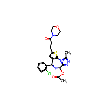 CC(=O)OC1N=C(c2ccccc2Cl)c2cc(CCC(=O)N3CCOCC3)sc2-n2c(C)nnc21